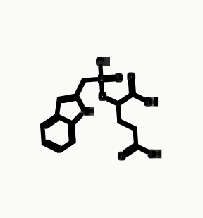 O=C(O)CCC(OP(=O)(O)Cc1cc2ccccc2[nH]1)C(=O)O